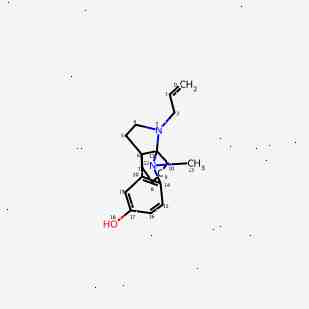 C=CCN1CCC23CCCCC12N(C)c1ccc(O)cc13